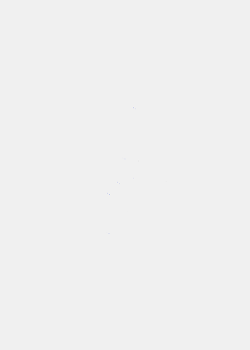 C/C(C(=N)OC1CCNCC1)=C(/NN)OC1CCN(C(=O)O)CC1